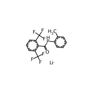 Cc1ccccc1PC(=O)c1c(C(F)(F)F)cccc1C(F)(F)F.[Li]